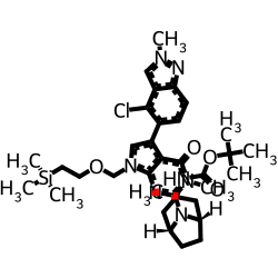 Cn1cc2c(Cl)c(-c3cn(COCC[Si](C)(C)C)c4nc(N5[C@@H]6CC[C@H]5C[C@@](C)(NC(=O)OC(C)(C)C)C6)n(C)c(=O)c34)ccc2n1